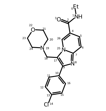 CCNC(=O)c1ccc2nc(-c3ccc(Cl)cc3)c(CN3CCOCC3)n2c1